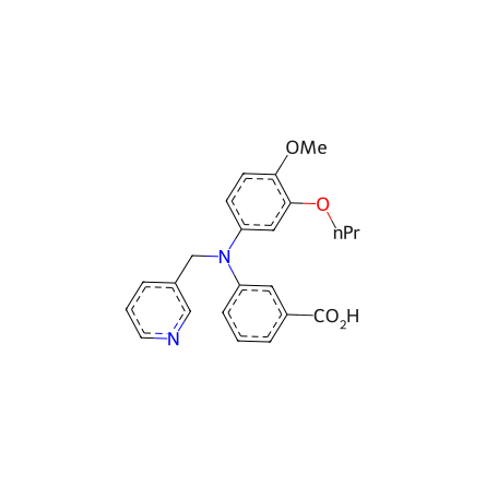 CCCOc1cc(N(Cc2cccnc2)c2cccc(C(=O)O)c2)ccc1OC